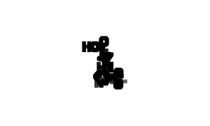 O=C(O)N1CC(Nc2ccncc2[N+](=O)[O-])C1